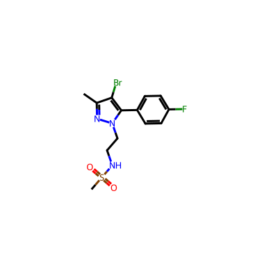 Cc1nn(CCNS(C)(=O)=O)c(-c2ccc(F)cc2)c1Br